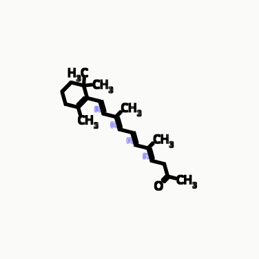 CC(=O)C/C=C(C)/C=C/C=C(C)/C=C/C1=C(C)CCCC1(C)C